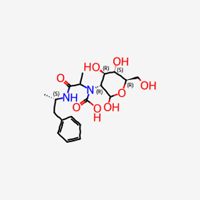 CC(C(=O)N[C@@H](C)Cc1ccccc1)N(C(=O)O)[C@H]1C(O)O[C@H](CO)[C@@H](O)[C@@H]1O